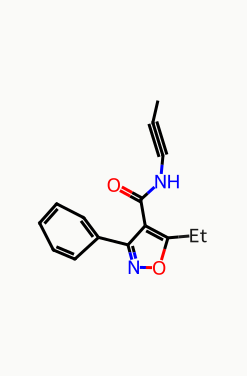 CC#CNC(=O)c1c(-c2ccccc2)noc1CC